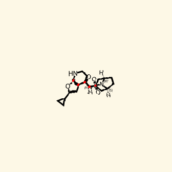 C[C@H](C1CCNCC1)S(=O)(=O)N1[C@@H]2CC[C@H]1C[C@@H](NC(=O)c1cc(C3CC3)on1)C2